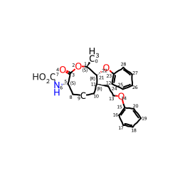 C[C@@H]1OC(=O)[C@@H](NC(=O)O)CCC[C@H](CCOc2ccccc2)[C@H]1Oc1ccccc1